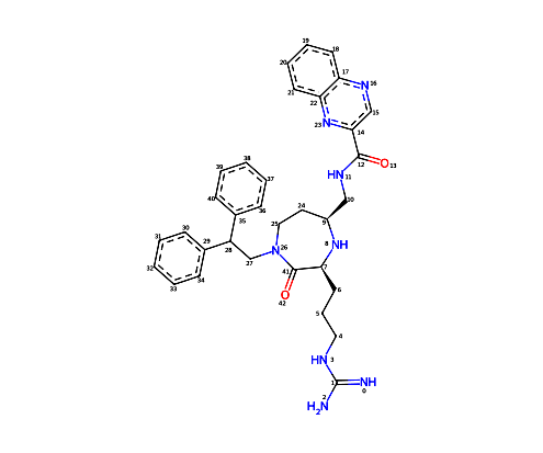 N=C(N)NCCC[C@@H]1N[C@H](CNC(=O)c2cnc3ccccc3n2)CCN(CC(c2ccccc2)c2ccccc2)C1=O